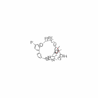 Cc1ccc2cc1OCCC(F)(F)C(F)(F)CCOc1cc(F)ccc1-c1cccc(c1)-c1cc3nc(C)c([C@H](OC(C)(C)C)C(=O)O)c-2n3n1